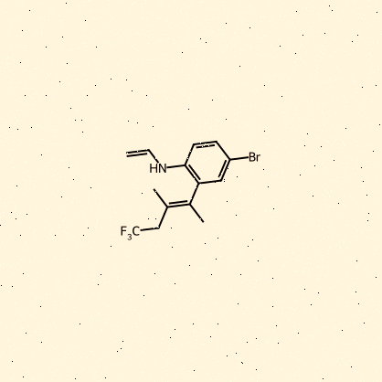 C=CNc1ccc(Br)cc1/C(C)=C(\C)CC(F)(F)F